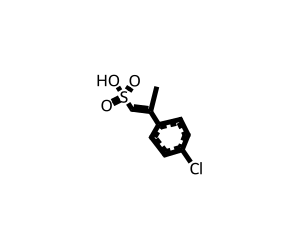 CC(=CS(=O)(=O)O)c1ccc(Cl)cc1